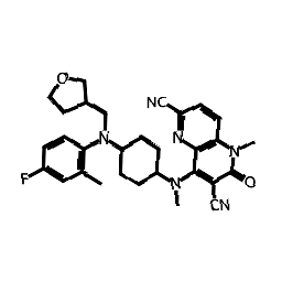 Cc1cc(F)ccc1N(CC1CCOC1)C1CCC(N(C)c2c(C#N)c(=O)n(C)c3ccc(C#N)nc23)CC1